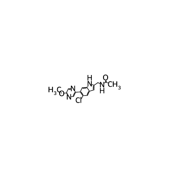 COc1cnc(-c2cc3[nH]c(CNC(C)=O)cc3cc2Cl)cn1